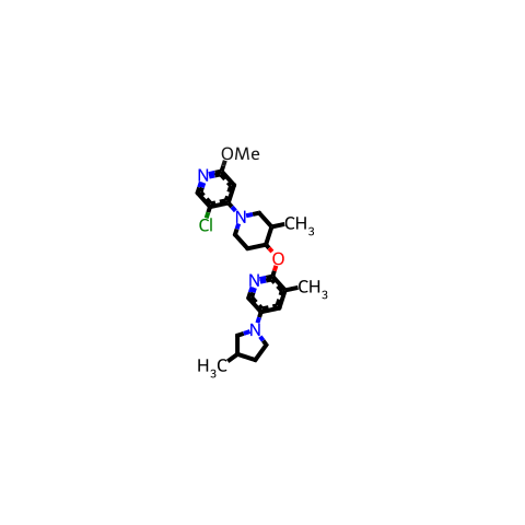 COc1cc(N2CCC(Oc3ncc(N4CCC(C)C4)cc3C)C(C)C2)c(Cl)cn1